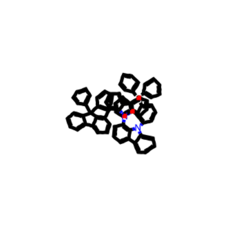 c1ccc(C2(c3ccccc3)c3ccccc3-c3cccc(-c4cccc5c6ccccc6n(-c6cccc7c8ccccc8n(-c8cccc([Si](c9ccccc9)(c9ccccc9)c9ccccc9)c8)c67)c45)c32)cc1